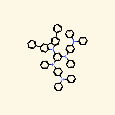 c1ccc(-c2ccc3c(c2)c2cc(-c4ccccc4)ccc2n3-c2cc(N(c3ccccc3)c3ccc(N(c4ccccc4)c4ccccc4)cc3)cc(N(c3ccccc3)c3ccc(N(c4ccccc4)c4ccccc4)cc3)c2)cc1